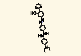 CCN(CC)c1ccc(NNc2ccc(/N=N/c3ccc(-c4nccs4)c(O)c3)cc2)cc1